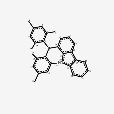 Cc1cc(C)c(B(c2c(C)cc(C)cc2C)c2cccc3c2[nH]c2ccccc23)c(C)c1